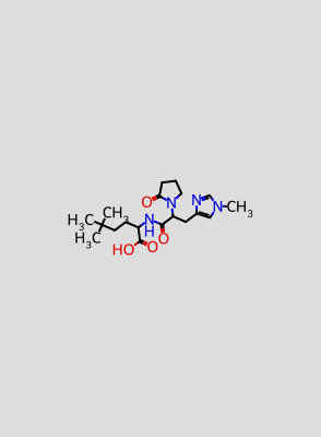 Cn1cnc(CC(C(=O)NC(CCC(C)(C)C)C(=O)O)N2CCCC2=O)c1